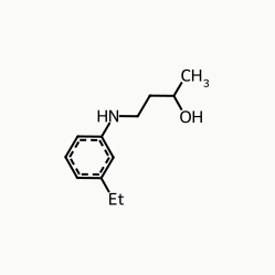 CCc1cccc(NCCC(C)O)c1